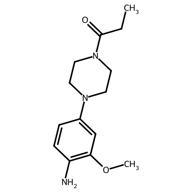 CCC(=O)N1CCN(c2ccc(N)c(OC)c2)CC1